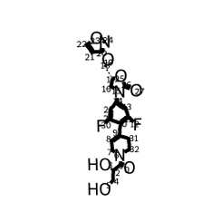 O=C([C@H](O)CO)N1CC=C(c2c(F)cc(N3C[C@H](COc4ccon4)OC3=O)cc2F)CC1